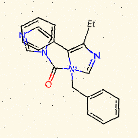 CCC1=C(c2ccccc2)[N+](Cc2ccccc2)(C(=O)n2ccnc2)C=N1